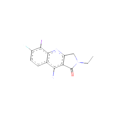 CCN1Cc2nc3c(I)c(F)ccc3c(N)c2C1=O